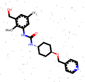 COc1c(CO)cc(C(F)(F)F)cc1NC(=O)N[C@H]1CC[C@H](OCc2ccncc2)CC1